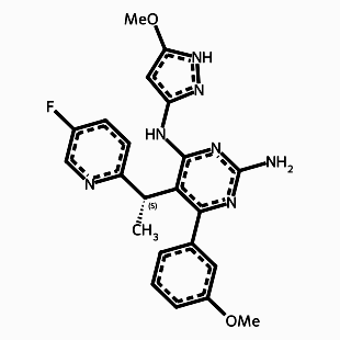 COc1cccc(-c2nc(N)nc(Nc3cc(OC)[nH]n3)c2[C@H](C)c2ccc(F)cn2)c1